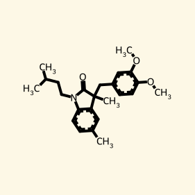 COc1ccc(CC2(C)C(=O)N(CCC(C)C)c3ccc(C)cc32)cc1OC